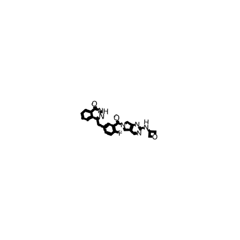 O=C(c1cc(Cc2n[nH]c(=O)c3ccccc23)ccc1F)N1Cc2cnc(NC3COC3)nc2C1